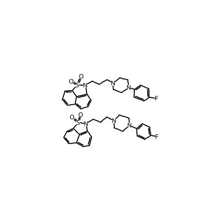 O=S1(=O)c2cccc3cccc(c23)N1CCCN1CCN(c2ccc(F)cc2)CC1.O=S1(=O)c2cccc3cccc(c23)N1CCCN1CCN(c2ccc(F)cc2)CC1